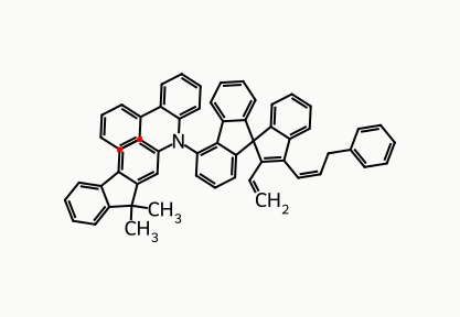 C=CC1=C(/C=C\Cc2ccccc2)c2ccccc2C12c1ccccc1-c1c(N(c3ccc4c(c3)C(C)(C)c3ccccc3-4)c3ccccc3-c3ccccc3)cccc12